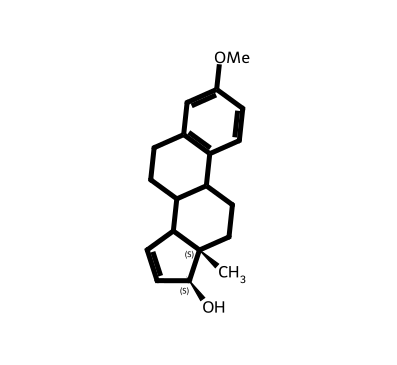 COc1ccc2c(c1)CCC1C2CC[C@@]2(C)C1C=C[C@@H]2O